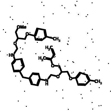 C=CC(=C)OCC(COc1ccc(C)cc1)OCNc1ccc(Cc2ccc(NCOC(COC)COc3ccc(C)cc3)cc2)cc1